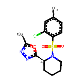 CC(C)(C)c1nnc([C@@H]2CCCCN2S(=O)(=O)c2ccc(C(F)(F)F)cc2Cl)o1